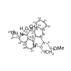 C=CC1C(CCOC)c2cc3ccccc3c3c2-c2c4c(nc(CC(C)(C)C)cc4cc[n+]21)C3(C)C